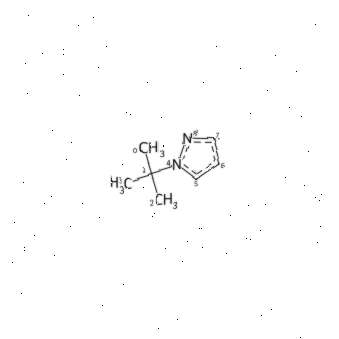 CC(C)(C)n1cc[c]n1